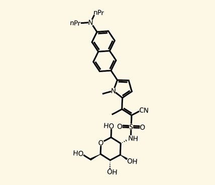 CCCN(CCC)c1ccc2cc(-c3ccc(/C(C)=C(\C#N)S(=O)(=O)N[C@H]4C(O)O[C@H](CO)[C@@H](O)[C@@H]4O)n3C)ccc2c1